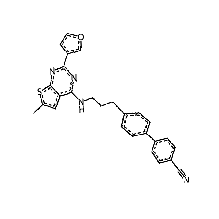 Cc1cc2c(NCCCc3ccc(-c4ccc(C#N)cc4)cc3)nc(-c3ccoc3)nc2s1